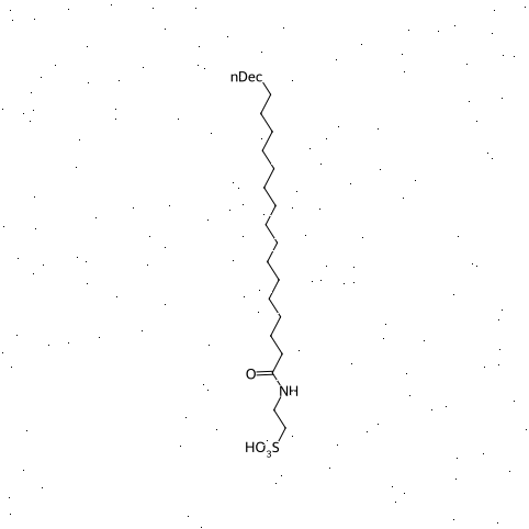 CCCCCCCCCCCCCCCCCCCCCCCCCC(=O)NCCS(=O)(=O)O